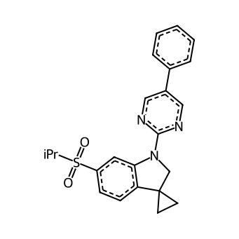 CC(C)S(=O)(=O)c1ccc2c(c1)N(c1ncc(-c3ccccc3)cn1)CC21CC1